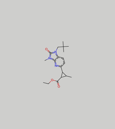 CCOC(=O)C1C(C)C1c1ccc2c(n1)n(C)c(=O)n2CC(C)(C)C